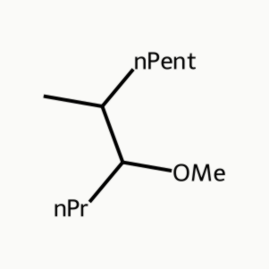 CCCCCC(C)C(CCC)OC